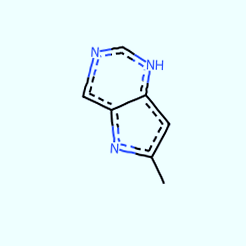 Cc1cc2[nH]cncc-2n1